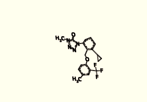 Cc1ccc(OCc2c(C3CC3)cccc2-n2nnn(C)c2=O)c(C(F)(F)F)c1